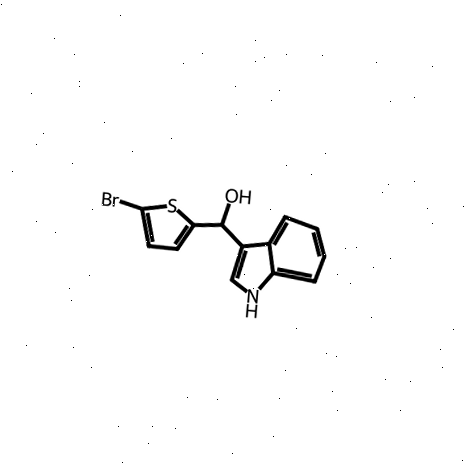 OC(c1ccc(Br)s1)c1c[nH]c2ccccc12